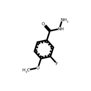 COc1ccc(C(=O)NN)cc1F